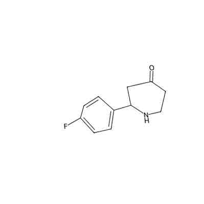 O=C1CCNC(c2ccc(F)cc2)C1